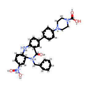 O=C(O)N1CCN(c2ccc(-c3ccc4c(c3)C(=O)N(Cc3ccccc3)c3cc([N+](=O)[O-])ccc3N4)cc2)CC1